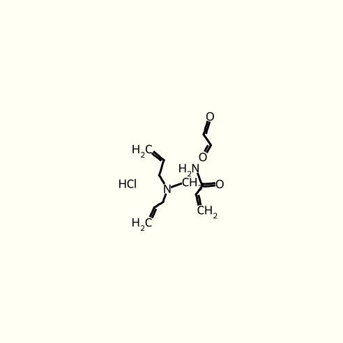 C=CC(N)=O.C=CCN(C)CC=C.Cl.O=CC=O